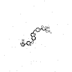 C[C@@H](O)CC(=O)N1CCN(Cc2ccc3cc(Oc4ccc(-c5ccn[nH]5)cn4)ccc3n2)CC1